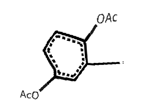 [CH]c1cc(OC(C)=O)ccc1OC(C)=O